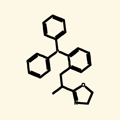 CC(Cc1ccccc1P(c1ccccc1)c1ccccc1)C1=NCCO1